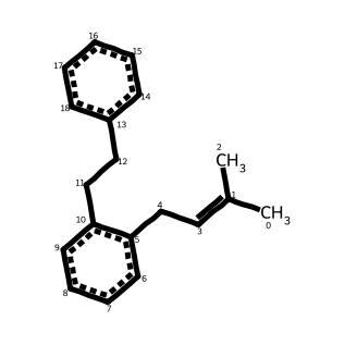 CC(C)=CCc1ccccc1CCc1ccccc1